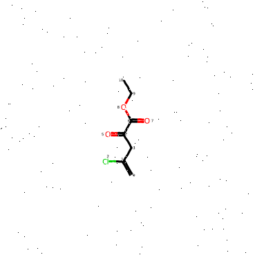 C=C(Cl)CC(=O)C(=O)OCC